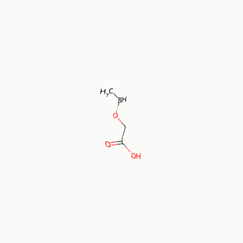 CBOCC(=O)O